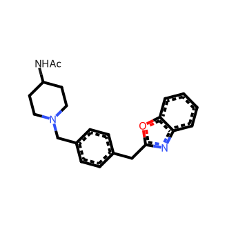 CC(=O)NC1CCN(Cc2ccc(Cc3nc4ccccc4o3)cc2)CC1